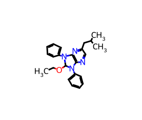 CCOC1N(c2ccccc2)c2ncc(CC(C)C)nc2N1c1ccccc1